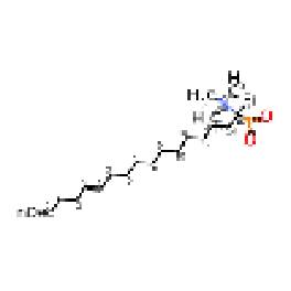 CCCCCCCCCCCCC=CCCCCCCCCCCC(CC)(P(=O)=O)[N+](C)(C)C